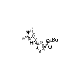 Cc1cc(CNC2CCCN(C(=O)OC(C)(C)C)C2)cc(C)n1